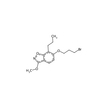 CCCc1c(OCCCBr)ccc2c(OC)noc12